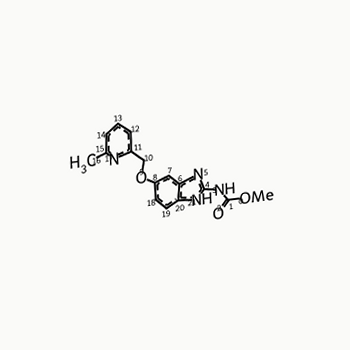 COC(=O)Nc1nc2cc(OCc3cccc(C)n3)ccc2[nH]1